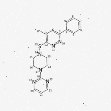 Cc1cc(-c2ccccc2)nnc1SN1CCN(c2ncccn2)CC1